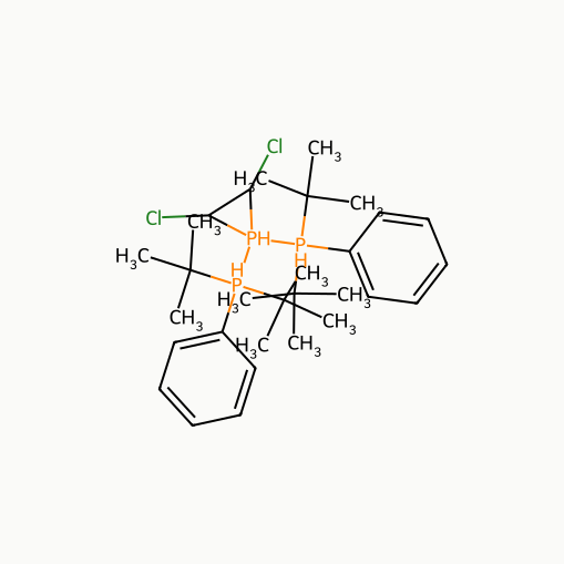 CC(C)(C)[PH](c1ccccc1)(C(C)(C)C)[PH]1([PH](c2ccccc2)(C(C)(C)C)C(C)(C)C)C(Cl)C1Cl